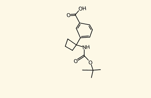 CC(C)(C)OC(=O)NC1(c2cccc(C(=O)O)c2)CCC1